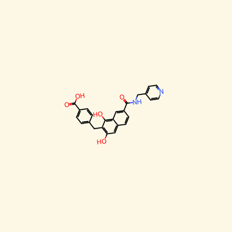 O=C(O)c1ccc(Cc2c(O)cc3ccc(C(=O)NCc4ccncc4)cc3c2O)cc1